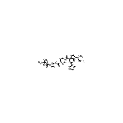 CCC(C)n1cnc2c(NC3CCN(C(=O)O[C@H]4CCN(C(=O)OC(C)(C)C)C4)CC3)nc(-c3cn[nH]c3)nc21